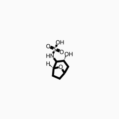 O=S(=O)(O)NC1[C@H](O)CC2CC[C@@H]1O2